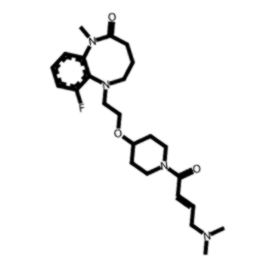 CN(C)CC=CC(=O)N1CCC(OCCN2CCCC(=O)N(C)c3cccc(F)c32)CC1